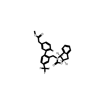 COC(=O)Cc1ccc(F)c(-c2ccc(C(F)(F)F)cc2CN2C(=O)O[C@@H]3Cc4ccccc4[C@@H]32)c1